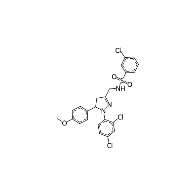 COc1ccc(C2CC(CNS(=O)(=O)c3cccc(Cl)c3)=NN2c2ccc(Cl)cc2Cl)cc1